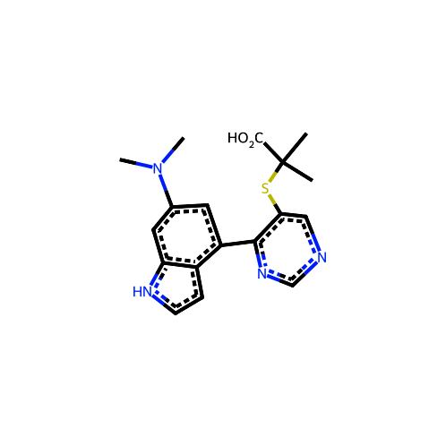 CN(C)c1cc(-c2ncncc2SC(C)(C)C(=O)O)c2cc[nH]c2c1